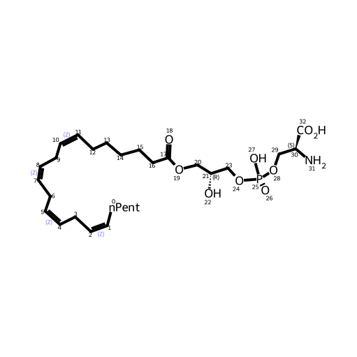 CCCCC/C=C\C/C=C\C/C=C\C/C=C\CCCCCC(=O)OC[C@@H](O)COP(=O)(O)OC[C@H](N)C(=O)O